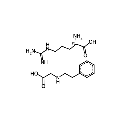 N=C(N)NCCC[C@H](N)C(=O)O.O=C(O)CNCCc1ccccc1